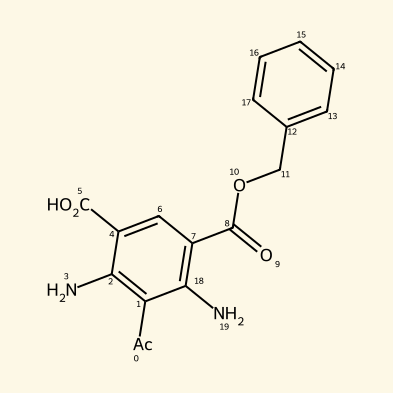 CC(=O)c1c(N)c(C(=O)O)cc(C(=O)OCc2ccccc2)c1N